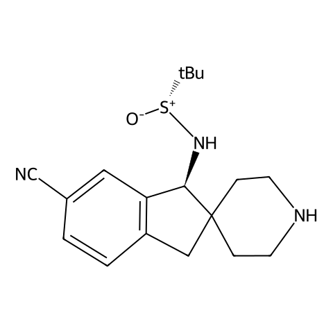 CC(C)(C)[S@@+]([O-])N[C@@H]1c2cc(C#N)ccc2CC12CCNCC2